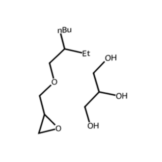 CCCCC(CC)COCC1CO1.OCC(O)CO